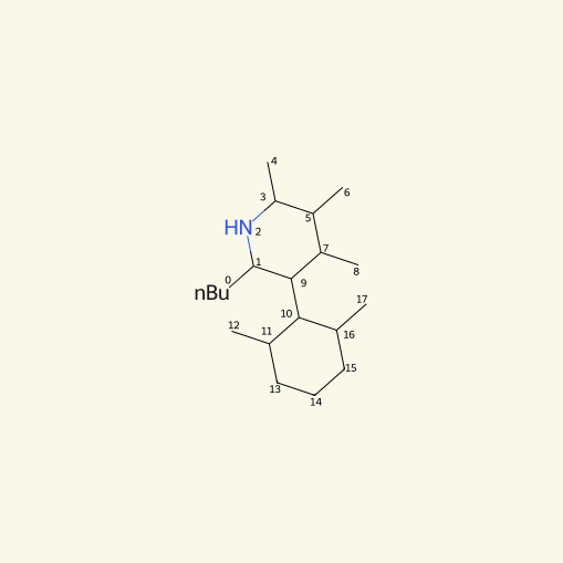 CCCCC1NC(C)C(C)C(C)C1C1C(C)CCCC1C